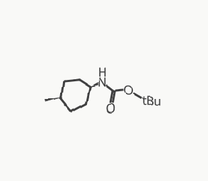 CC(C)(C)OC(=O)N[C@H]1CC[C@@H](C)CC1